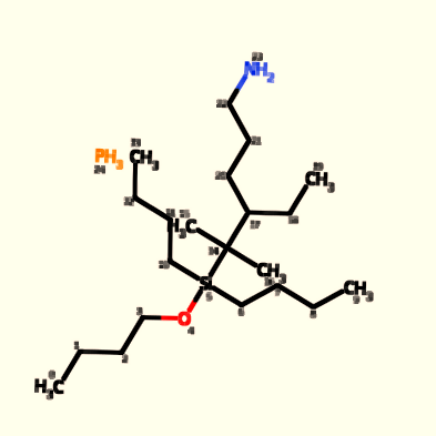 CCCCO[Si](CCCC)(CCCC)C(C)(C)C(CC)CCCN.P